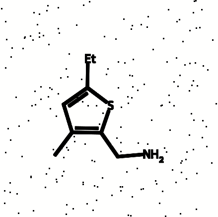 CCc1cc(C)c(CN)s1